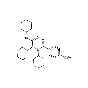 COc1ccc(C(=O)N(C2CCCCC2)C(C(=O)NC2CCCCC2)C2CCCCC2)cc1